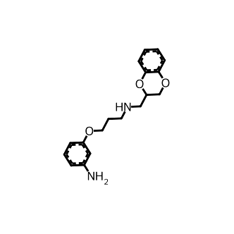 Nc1cccc(OCCCNCC2COc3ccccc3O2)c1